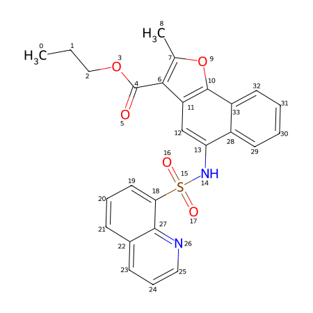 CCCOC(=O)c1c(C)oc2c1cc(NS(=O)(=O)c1cccc3cccnc13)c1ccccc12